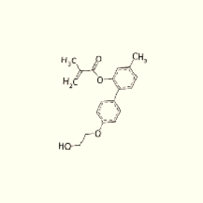 C=C(C)C(=O)Oc1cc(C)ccc1-c1ccc(OCCO)cc1